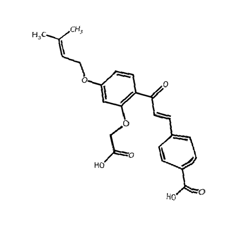 CC(C)=CCOc1ccc(C(=O)/C=C/c2ccc(C(=O)O)cc2)c(OCC(=O)O)c1